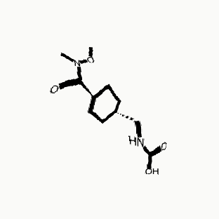 CON(C)C(=O)[C@H]1CC[C@H](CNC(=O)O)CC1